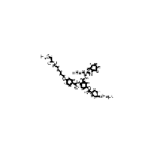 C=CC(=O)OCCCCCCOc1ccc(C(=O)Oc2ccc(OC(=O)C3CCC(CCCCCCC)CC3)cc2C=NN(CCCCCC)c2nc3ccccc3s2)cc1